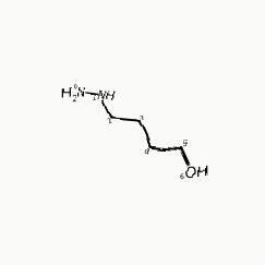 NNCCCCO